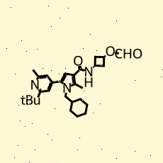 Cc1cc(-c2cc(C(=O)N[C@H]3C[C@H](OC=O)C3)c(C)n2CC2CCCCC2)cc(C(C)(C)C)n1